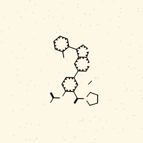 COC[C@@H]1CCCN1C(=O)c1cc(-c2cnc3[nH]cc(-c4ccccc4OC)c3c2)ccc1NC(=O)OC